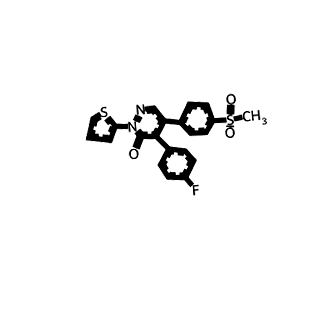 CS(=O)(=O)c1ccc(-c2cnn(-c3cccs3)c(=O)c2-c2ccc(F)cc2)cc1